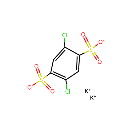 O=S(=O)([O-])c1cc(Cl)c(S(=O)(=O)[O-])cc1Cl.[K+].[K+]